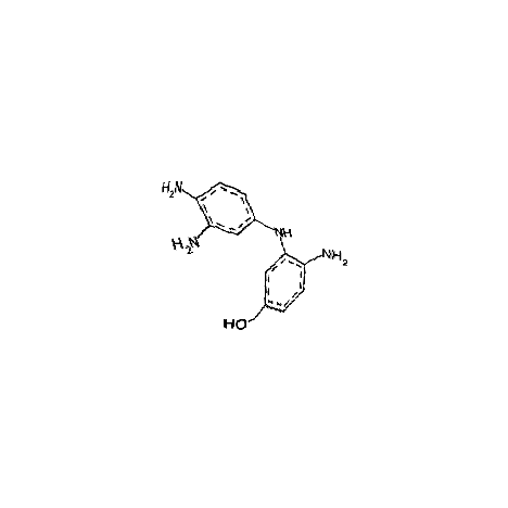 Nc1ccc(Nc2cc(O)ccc2N)cc1N